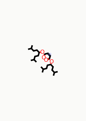 CC(C)CCC(CCC(C)C)OC(=O)/C=C\C(=O)OC(CCC(C)C)CCC(C)C